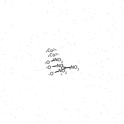 O=[N+]([O-])[O-].O=[N+]([O-])[O-].O=[N+]([O-])[O-].O=[N+]([O-])[O-].[Co+2].[Co+2]